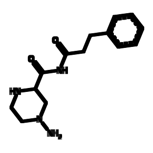 NN1CCNC(C(=O)NC(=O)CCc2ccccc2)C1